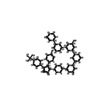 Cc1ccc(-n2c(-c3ccc(-c4cncc(-c5cccc(-c6cc(C)cc(-c7cccc(-c8cccnc8)c7)c6)c5)c4)cc3)nnc2-c2ccc(C(C)(C)C)cc2)cc1